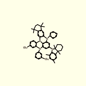 Cc1cc(C)c2c(c1)C1(C)CCCCC1(C)N2c1cc2c3c(c1)N(c1ccccc1)c1cc4c(cc1B3c1ccc(C(C)(C)C)cc1N2c1cccc(C(C)(C)C)c1)C(C)(C)CCC4(C)C